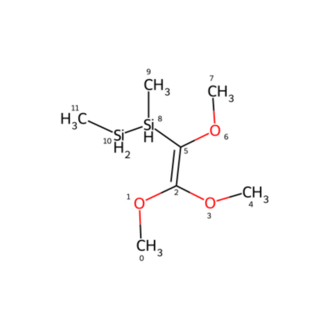 COC(OC)=C(OC)[SiH](C)[SiH2]C